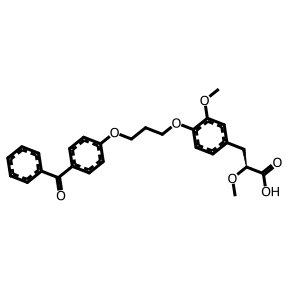 COc1cc(C[C@H](OC)C(=O)O)ccc1OCCCOc1ccc(C(=O)c2ccccc2)cc1